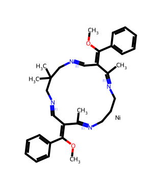 COC(=C1/C=N/CC(C)(C)C/N=C/C(=C(OC)c2ccccc2)/C(C)=N/CCC/N=C/1C)c1ccccc1.[Ni]